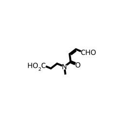 CN(CCC(=O)O)C(=O)/C=C\C=O